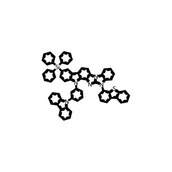 c1ccc([Si](c2ccccc2)(c2ccccc2)c2ccc3c(c2)c2ccc4c(nc5n(-c6cccc7c6sc6ccccc67)c6ccccc6n45)c2n3-c2cccc(-n3c4ccccc4c4ccccc43)c2)cc1